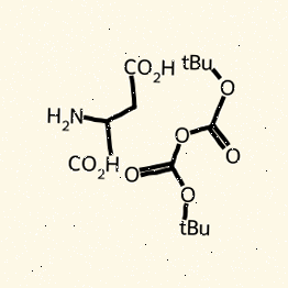 CC(C)(C)OC(=O)OC(=O)OC(C)(C)C.NC(CC(=O)O)C(=O)O